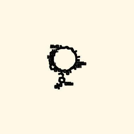 C=C1[C@H](C)C[C@H](C)/C=C/C=C/C=C(\C)[C@@H](OC)C[C@@H]2CC[C@@H](C)C(O)(O2)C(=O)C(=O)N2CCCCC2C(=O)O[C@H]([C@H](C)C[C@@H]2CC[C@@H](OP(C)(C)=O)[C@H](OC)C2)CC(=O)[C@H](C)/C=C(\C)[C@@H](O)[C@H]1OC